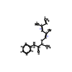 C=C/C(O)=C\C(Br)=C/CC(C)C(=O)Nc1ccccc1